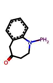 O=C1CCN(P)c2ccccc2C1